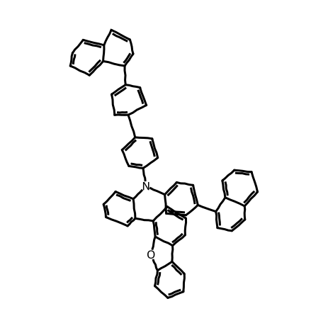 c1ccc(N(c2ccc(-c3ccc(-c4cccc5ccccc45)cc3)cc2)c2ccc(-c3cccc4ccccc34)cc2)c(-c2cccc3c2oc2ccccc23)c1